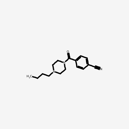 CCCCN1CCN(C(=O)c2ccc(C#N)cc2)CC1